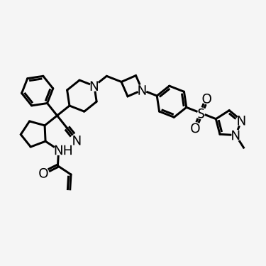 C=CC(=O)NC1CCCC1C(C#N)(c1ccccc1)C1CCN(CC2CN(c3ccc(S(=O)(=O)c4cnn(C)c4)cc3)C2)CC1